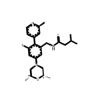 Cc1cc(-c2c(F)cc(N3C[C@@H](C)O[C@@H](C)C3)cc2CNC(=O)CC(C)C)ccn1